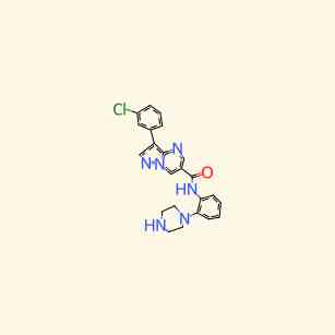 O=C(Nc1ccccc1N1CCNCC1)c1cnc2c(-c3cccc(Cl)c3)cnn2c1